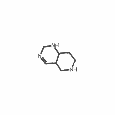 C1=NCNC2CCNCC12